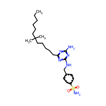 CCCCCCC(C)(C)CCCCCc1nc(N)nc(NCc2ccc(S(N)(=O)=O)cc2)n1